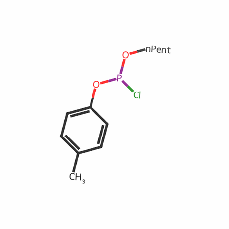 CCCCCOP(Cl)Oc1ccc(C)cc1